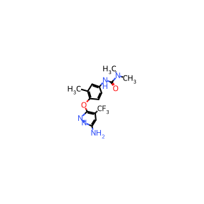 Cc1cc(NC(=O)N(C)C)ccc1Oc1nnc(N)cc1C(F)(F)F